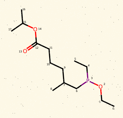 CCOP(CC)CC(C)CCCC(=O)OC(C)C